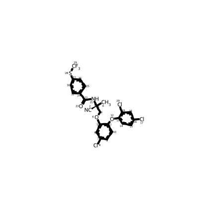 C[C@](C#N)(COc1cc(Cl)ccc1Oc1ccc(Cl)cc1Cl)NC(=O)c1ccc(SC(F)(F)F)cc1